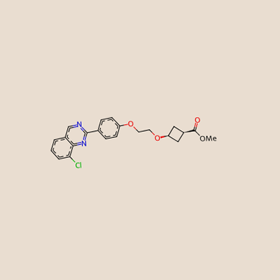 COC(=O)[C@H]1C[C@@H](OCCOc2ccc(-c3ncc4cccc(Cl)c4n3)cc2)C1